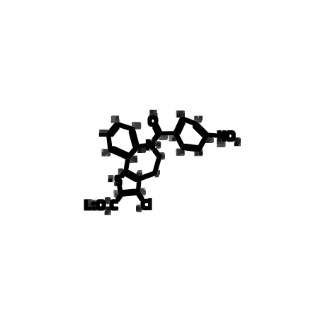 CCOC(=O)c1sc2c(c1Cl)CCN(C(=O)c1ccc([N+](=O)[O-])cc1)c1ccccc1-2